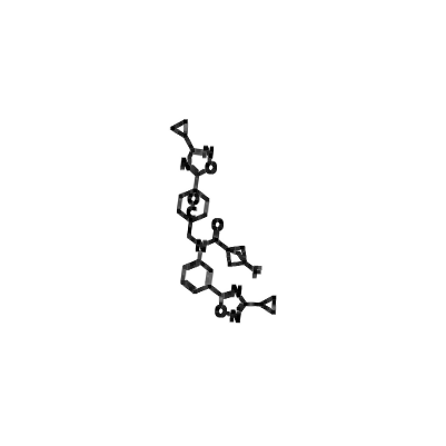 O=C(N(CC12CCC(c3nc(C4CC4)no3)(CC1)OC2)c1cccc(-c2nc(C3CC3)no2)c1)C12CC(F)(C1)C2